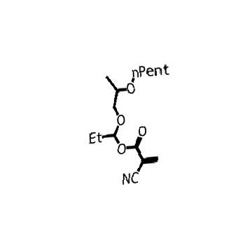 C=C(C#N)C(=O)OC(CC)OCC(C)OCCCCC